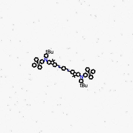 CC(C)(C)c1ccc(N(c2ccc([Si](c3ccccc3)(c3ccccc3)c3ccccc3)cc2)c2ccc3c(c2)C(C)(C)c2cc(/C=C/c4ccc(/C=C/c5ccc6c(c5)C(C)(C)c5cc(N(c7ccc(C(C)(C)C)cc7)c7ccc([Si](c8ccccc8)(c8ccccc8)c8ccccc8)cc7)ccc5-6)cc4)ccc2-3)cc1